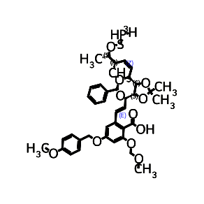 [3H]PSO[C@@H](C)[C@H](C)/C=C\C(OC(=O)c1ccccc1)[C@H]1OC(C)(C)O[C@H]1C/C=C/c1cc(OCc2ccc(OC)cc2)cc(OCOC)c1C(=O)O